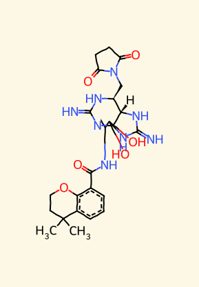 CC1(C)CCOc2c(C(=O)NC3CN4C(=N)N[C@@H](CN5C(=O)CCC5=O)[C@@H]5NC(=N)NC54C3(O)O)cccc21